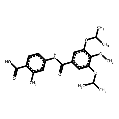 COc1c(OC(C)C)cc(C(=O)Nc2ccc(C(=O)O)c(C)c2)cc1OC(C)C